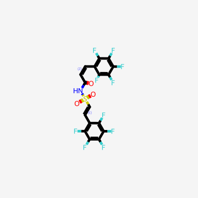 O=C(/C=C\c1c(F)c(F)c(F)c(F)c1F)NS(=O)(=O)/C=C/c1c(F)c(F)c(F)c(F)c1F